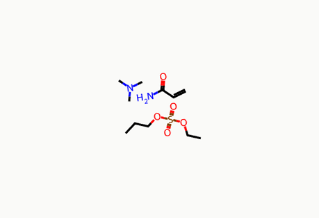 C=CC(N)=O.CCCOS(=O)(=O)OCC.CN(C)C